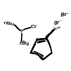 CCCCP([O-])CCCC.[Br-].[Br-].[Ir+3][C]1=CC=CC1